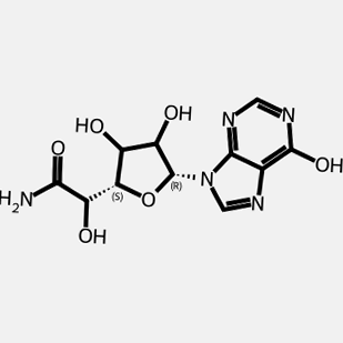 NC(=O)C(O)[C@H]1O[C@@H](n2cnc3c(O)ncnc32)C(O)C1O